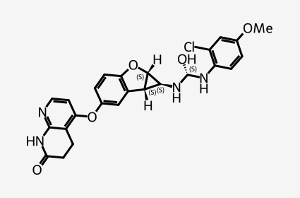 COc1ccc(N[C@@H](O)N[C@@H]2[C@H]3Oc4ccc(Oc5ccnc6c5CCC(=O)N6)cc4[C@@H]23)c(Cl)c1